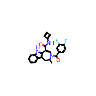 CC1Cc2c([nH]c3ccccc23)C(C(=O)NC2=CC=C2)=CN1C(=O)c1ccc(F)c(F)c1